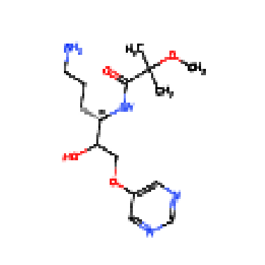 COC(C)(C)C(=O)N[C@@H](CCCN)C(O)COc1cncnc1